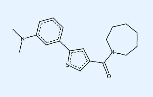 CN(C)c1cccc(-c2cc(C(=O)N3CCCCCC3)cs2)c1